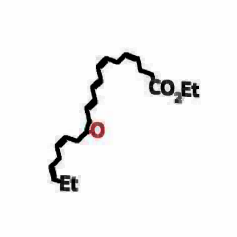 CC/C=C\C/C=C\CC1OC1/C=C/C=C/C=C\C/C=C\CCC(=O)OCC